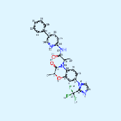 CC1Oc2cc(-n3ccnc3C(F)(F)F)ccc2N(C(C)C(=O)Nc2ccc(-c3ccccc3)cn2)C1=O